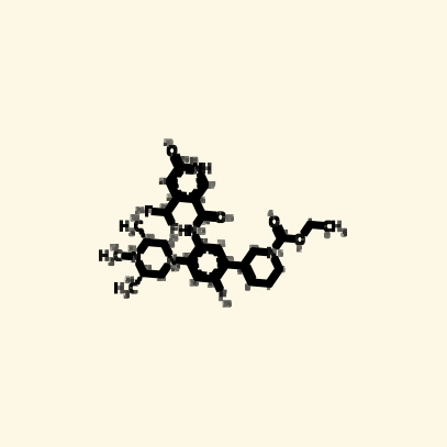 CCOC(=O)N1CCC=C(c2cc(NC(=O)c3c[nH]c(=O)cc3C(F)F)c(N3C[C@@H](C)N(C)[C@@H](C)C3)cc2F)C1